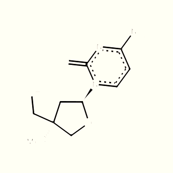 CO[C@@]1(CO)CO[C@H](n2ccc(N)nc2=O)C1